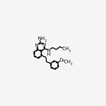 CCCCNc1nc(N)nc2cccc(CCc3cccc(OC)c3)c12